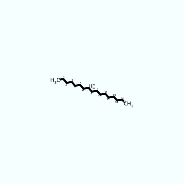 CCCCCCCCCCCCCCCCC.F